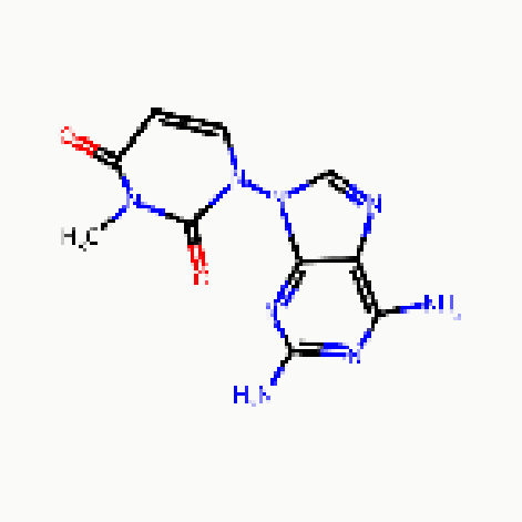 Cn1c(=O)ccn(-n2cnc3c(N)nc(N)nc32)c1=O